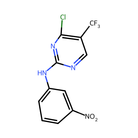 O=[N+]([O-])c1cccc(Nc2ncc(C(F)(F)F)c(Cl)n2)c1